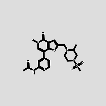 CC(=O)Nc1cc(-c2cn(C)c(=O)c3cc(CN4CCN(S(C)(=O)=O)CC4C)oc23)ccn1